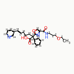 CCOCCCNC(=O)c1coc(C(CCCC=Cc2cccnc2)(C(=O)O)c2ccccc2)n1